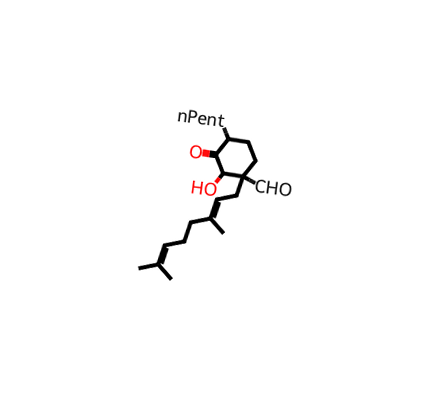 CCCCCC1CCC(C=O)(C/C=C(\C)CCC=C(C)C)C(O)C1=O